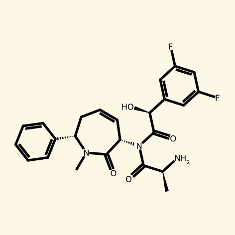 C[C@H](N)C(=O)N(C(=O)[C@@H](O)c1cc(F)cc(F)c1)[C@H]1C=CC[C@@H](c2ccccc2)N(C)C1=O